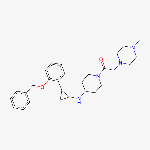 CN1CCN(CC(=O)N2CCC(NC3CC3c3ccccc3OCc3ccccc3)CC2)CC1